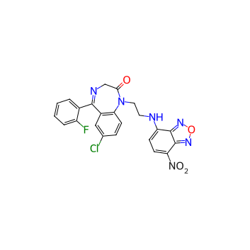 O=C1CN=C(c2ccccc2F)c2cc(Cl)ccc2N1CCNc1ccc([N+](=O)[O-])c2nonc12